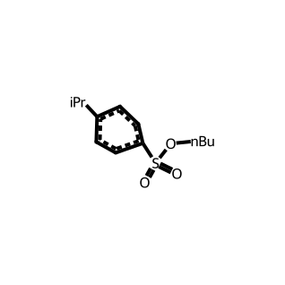 CCCCOS(=O)(=O)c1ccc(C(C)C)cc1